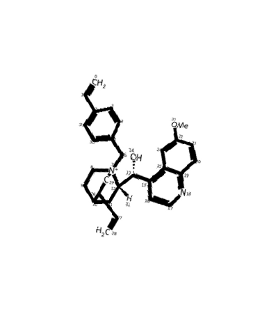 C=Cc1ccc(C[N+]23CCC(C[C@H]2[C@H](O)c2ccnc4ccc(OC)cc24)C(C=C)C3)cc1